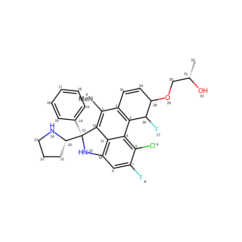 CNc1c2c(c3c(Cl)c(F)cc4c3c1[C@](c1ccccc1)([C@@H]1CCCN1)N4)C(F)C(OC[C@H](C)O)C=C2